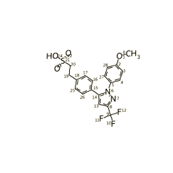 COc1ccc(-n2nc(C(F)(F)F)cc2-c2ccc(CCS(=O)(=O)O)cc2)cc1